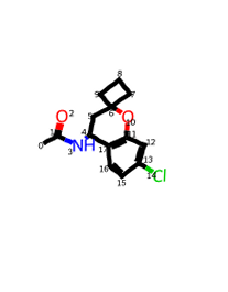 CC(=O)NC1CC2(CCC2)Oc2cc(Cl)ccc21